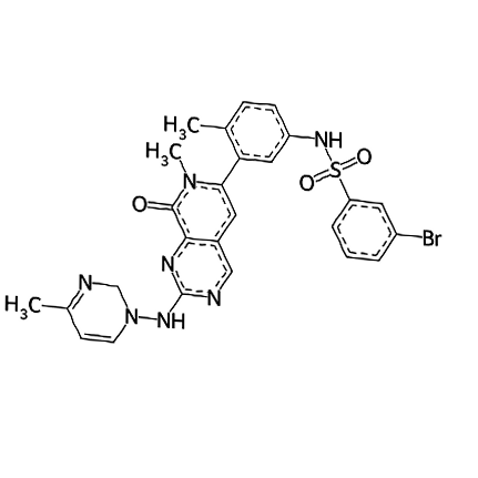 CC1=NCN(Nc2ncc3cc(-c4cc(NS(=O)(=O)c5cccc(Br)c5)ccc4C)n(C)c(=O)c3n2)C=C1